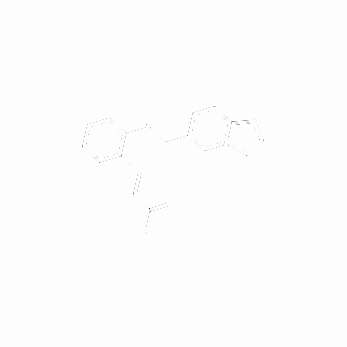 NC(=O)C=Cc1ccccc1NCc1ccc2nccn2c1